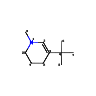 CN1C=C(C(C)(C)C)CCC1